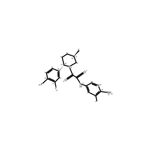 Cc1cc(NC(=O)C(=O)N2C[C@H](C)CC[C@H]2c2ccc(F)c(F)c2)cnc1N